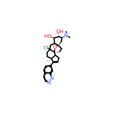 CN(C)[C@H]1C[C@@]23CC[C@]4(O2)C2CC=C(c5ccc6ccnnc6c5)[C@@]2(C)CCC4(Cl)CC3[C@@H](O)[C@@H]1O